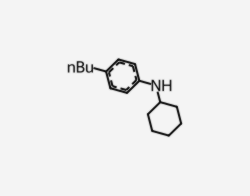 CCCCc1ccc(NC2CCCCC2)cc1